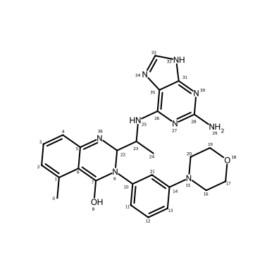 Cc1cccc2c1=C(O)N(c1cccc(N3CCOCC3)c1)C(C(C)Nc1nc(N)nc3[nH]cnc13)N=2